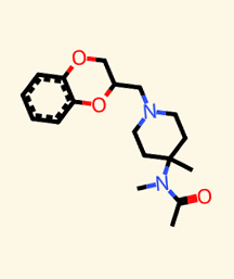 CC(=O)N(C)C1(C)CCN(CC2COc3ccccc3O2)CC1